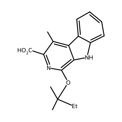 CCC(C)(C)Oc1nc(C(=O)O)c(C)c2c1[nH]c1ccccc12